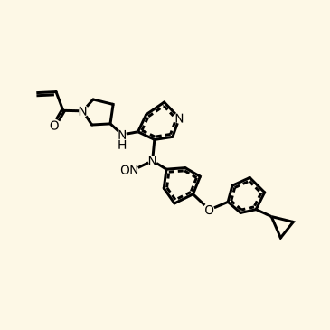 C=CC(=O)N1CCC(Nc2ccncc2N(N=O)c2ccc(Oc3cccc(C4CC4)c3)cc2)C1